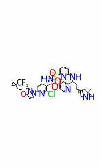 CC1(C)C[C@H](CCC(Nc2cccc(S(=O)(=O)NC(=O)c3ccc(-n4ccc(OCCC5(C(F)(F)F)CC5)n4)nc3Cl)n2)c2ccccn2)CN1